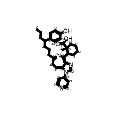 CCCC(CCCC1=NC(C2CCCCC2(C)C(=O)O)=c2ncn(-c3ccncc3)c2=CC1)c1ccc(O)cc1